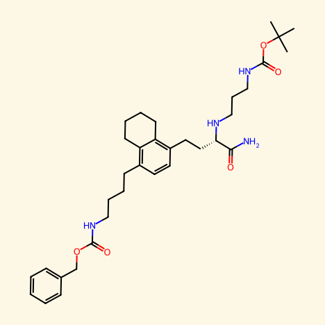 CC(C)(C)OC(=O)NCCCN[C@@H](CCc1ccc(CCCCNC(=O)OCc2ccccc2)c2c1CCCC2)C(N)=O